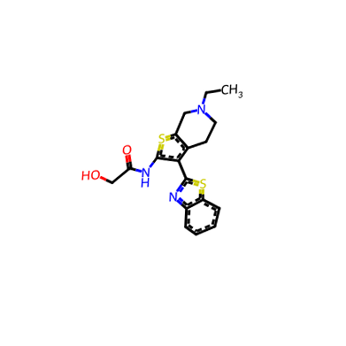 CCN1CCc2c(sc(NC(=O)CO)c2-c2nc3ccccc3s2)C1